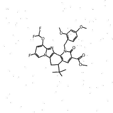 COC(=O)c1cc2c(n(Cc3ccc(OC)cc3OC)c1=O)-c1nc3c(OC(F)F)cc(F)cn3c1CC2C(C)(C)C